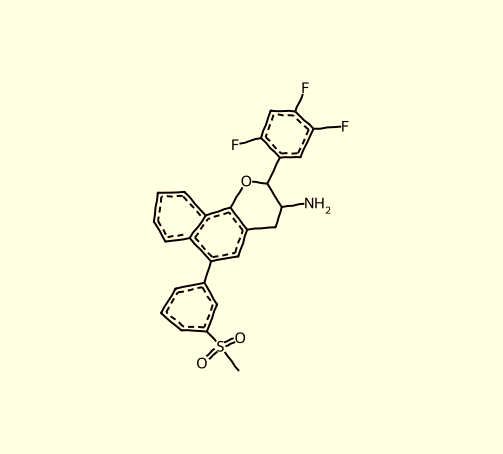 CS(=O)(=O)c1cccc(-c2cc3c(c4ccccc24)OC(c2cc(F)c(F)cc2F)C(N)C3)c1